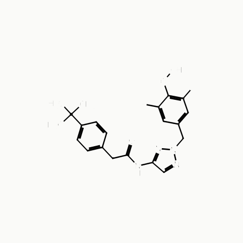 COc1c(F)cc(Cn2ncc(NC(=O)Cc3ccc(C(C)(C)C)cc3)n2)cc1F